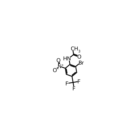 CC(=O)Nc1c(Br)cc(C(F)(F)F)cc1[N+](=O)[O-]